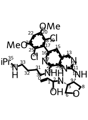 C=CC(O)N[C@H]1COC[C@H]1Nc1ncc2cc(-c3c(Cl)c(OC)cc(OC)c3Cl)nc(NCCCCNC(C)C)c2n1